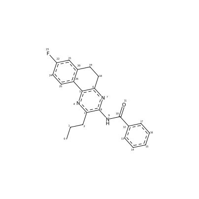 CCCc1nc2c(nc1NC(=O)c1ccccc1)CCc1cc(F)ccc1-2